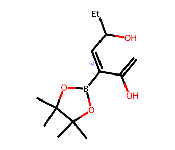 C=C(O)/C(=C\C(O)CC)B1OC(C)(C)C(C)(C)O1